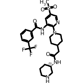 CS(=O)(=O)c1cnc(N2CCC(CC(=O)N[C@H]3CCCNC3)CC2)c(NC(=O)c2cccc(C(F)(F)F)c2)c1